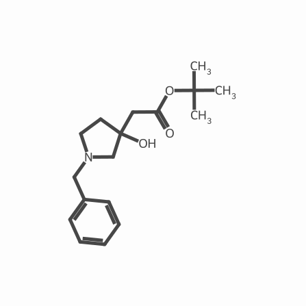 CC(C)(C)OC(=O)CC1(O)CCN(Cc2ccccc2)C1